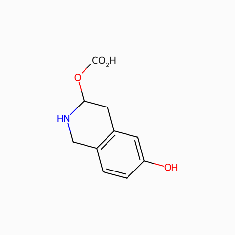 O=C(O)OC1Cc2cc(O)ccc2CN1